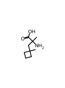 CC1(CC(C)(N)C(=O)O)CCC1